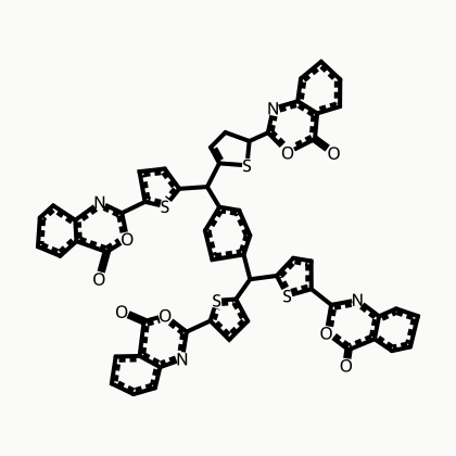 O=c1oc(-c2ccc(C(C3=CCC(c4nc5ccccc5c(=O)o4)S3)c3ccc(C(c4ccc(-c5nc6ccccc6c(=O)o5)s4)c4ccc(-c5nc6ccccc6c(=O)o5)s4)cc3)s2)nc2ccccc12